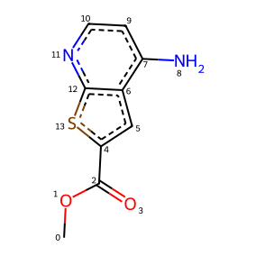 COC(=O)c1cc2c(N)ccnc2s1